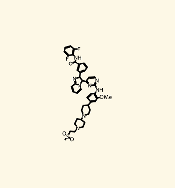 COc1cc(C2CCN(C3CCN(CCS(C)(=O)=O)CC3)CC2)ccc1Nc1nccc(C2C(c3cccc(C(=O)Nc4c(F)cccc4F)c3)N=C3C=CC=CN32)n1